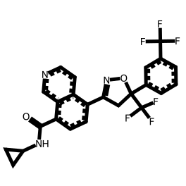 O=C(NC1CC1)c1ccc(C2=NOC(c3cccc(C(F)(F)F)c3)(C(F)(F)F)C2)c2ccncc12